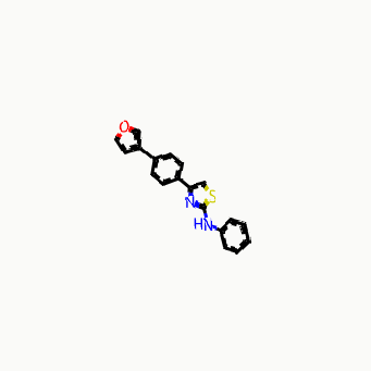 c1ccc(Nc2nc(-c3ccc(-c4ccoc4)cc3)cs2)cc1